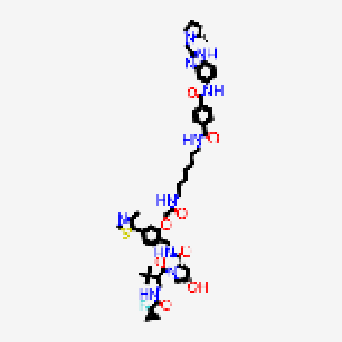 Cc1ncsc1-c1ccc(CNC(=O)[C@@H]2C[C@@H](O)CN2C(=O)C(CNC(=O)C2(F)CC2)C(C)(C)C)c(OCC(=O)NCCCCCCCNC(=O)c2ccc(C(=O)Nc3ccc4[nH]c(CN5CCC[C@@H]5C)nc4c3)cc2)c1